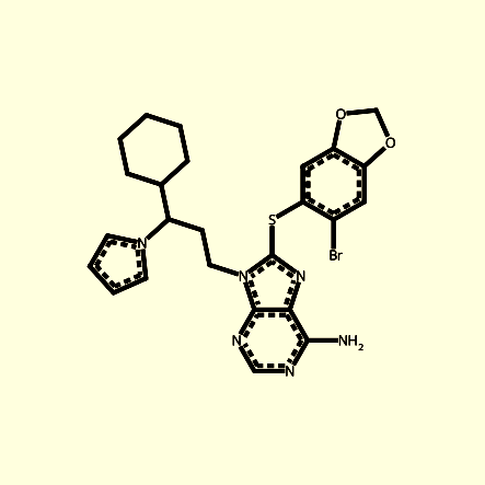 Nc1ncnc2c1nc(Sc1cc3c(cc1Br)OCO3)n2CCC(C1CCCCC1)n1cccc1